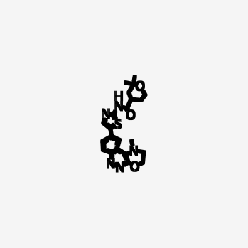 CN1CCOc2nnc3ccc(-c4cnc(NC(=O)C5CCOC(C)(C)C5)s4)cc3c21